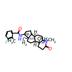 Cc1c(F)cccc1C(=O)NC1CC[C@H]2[C@@H]3CC[C@H]4N(C)C(=O)CC[C@]4(C)[C@H]3CC[C@]12C